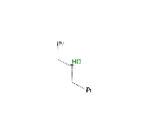 CC(C)[CH2][Ti][CH2]C(C)C.Cl